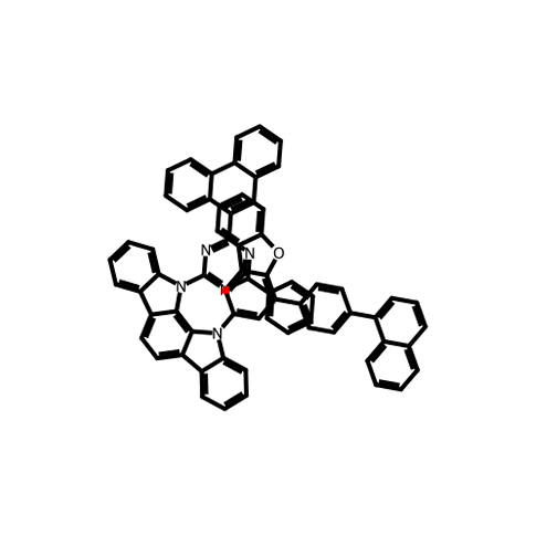 c1ccc(-c2nc(-c3cc4ccccc4c4ccccc34)nc(-n3c4ccccc4c4ccc5c6ccccc6n(-c6cc(-c7ccc(-c8cccc9ccccc89)cc7)c7oc8ccccc8c7c6)c5c43)n2)cc1